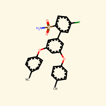 N#Cc1ccc(Oc2cc(Oc3ccc(C#N)cc3)cc(-c3cc(F)ccc3S(N)(=O)=O)c2)cc1